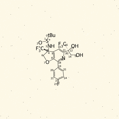 CC(C)(C)[S+]([O-])N[C@@]1(C(F)(F)F)COc2c1cc([C@@](O)(CO)C(F)(F)F)nc2-c1ccc(F)cc1